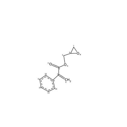 C=C(C(=O)OCC1CO1)c1ccccc1